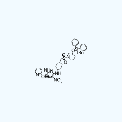 COc1ncccc1Nc1ncc([N+](=O)[O-])c(N[C@H]2CC[C@H](CS(=O)(=O)N3CCCC(O[Si](c4ccccc4)(c4ccccc4)C(C)(C)C)C3)CC2)n1